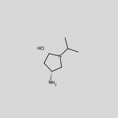 CC(C)N1CC[C@@H](N)C1.Cl